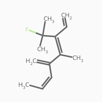 C=C/C(=C(\C)C(=C)/C=C\C)C(C)(C)F